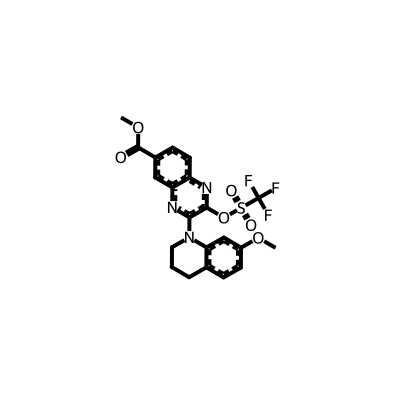 COC(=O)c1ccc2nc(OS(=O)(=O)C(F)(F)F)c(N3CCCc4ccc(OC)cc43)nc2c1